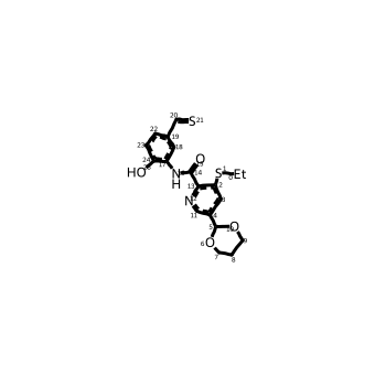 CCSc1cc(C2OCCCO2)cnc1C(=O)Nc1cc(C=S)ccc1O